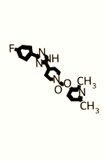 Cc1ccc(OC(=O)N2CCC(c3nc(-c4ccc(F)cc4)n[nH]3)CC2)c(C)n1